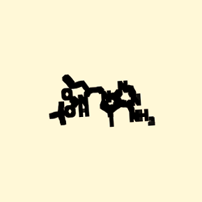 C=CC[C@@H](Cn1cc(I)c2c(N)ncnc21)NC(=O)OC(C)(C)C